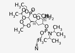 B[C@@H]1O[C@H](C(OC(C)=O)C(OC(C)=O)P(=O)(OCC)OCC)CC1OP(OCCC#N)N(C(C)C)C(C)C